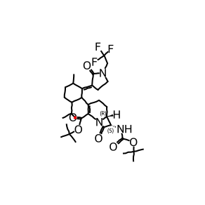 CC1CCC(C(C)C)C(C2=C(C(=O)OC(C)(C)C)N3C(=O)[C@@H](NC(=O)OC(C)(C)C)[C@H]3CC2)C1=C1CCN(CC(F)(F)F)C1=O